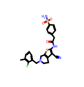 Cc1cccc(CN2CCc3c(sc(NC(=O)Cc4ccc(S(N)(=O)=O)cc4)c3C#N)C2)c1F